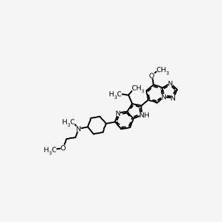 COCCN(C)C1CCC(c2ccc3[nH]c(-c4cc(OC)c5ncnn5c4)c(C(C)C)c3n2)CC1